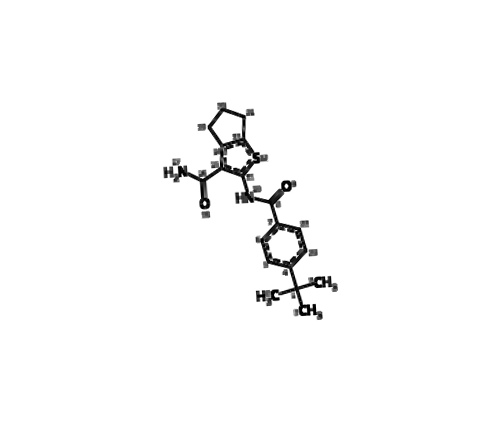 CC(C)(C)c1ccc(C(=O)Nc2sc3c(c2C(N)=O)CCC3)cc1